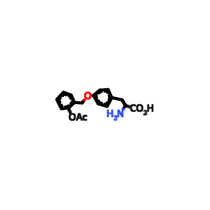 CC(=O)Oc1ccccc1COc1ccc(CC(N)C(=O)O)cc1